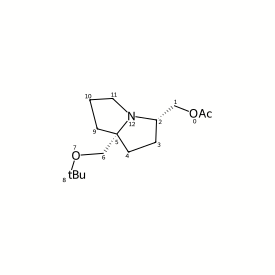 CC(=O)OC[C@@H]1CC[C@@]2(COC(C)(C)C)CCCN12